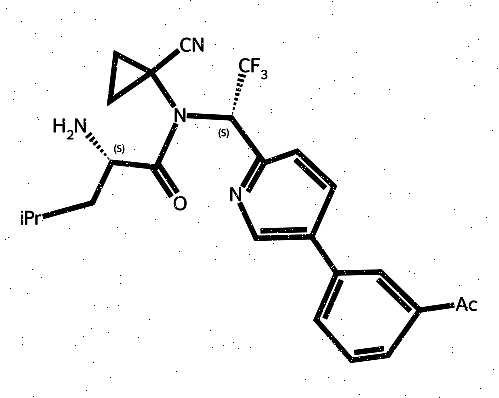 CC(=O)c1cccc(-c2ccc([C@H](N(C(=O)[C@@H](N)CC(C)C)C3(C#N)CC3)C(F)(F)F)nc2)c1